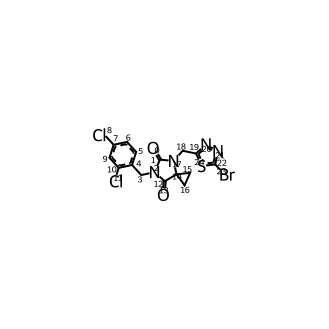 O=C1N(Cc2ccc(Cl)cc2Cl)C(=O)C2(CC2)N1Cc1nnc(Br)s1